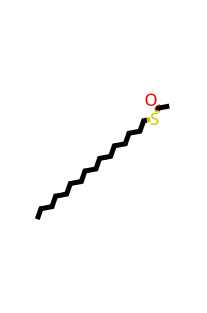 CCCCCCCCCCCCCCCCSC(C)=O